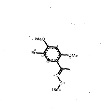 COc1cc(OC)c(/C(C)=N/SC(C)(C)C)cc1Br